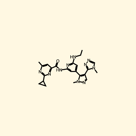 CCNc1cc(-c2c(-c3nncn3C)cnn2C)cc(NC(=O)c2cc(C)nc(C3CC3)n2)n1